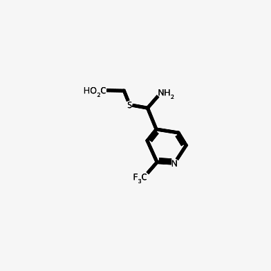 NC(SCC(=O)O)c1ccnc(C(F)(F)F)c1